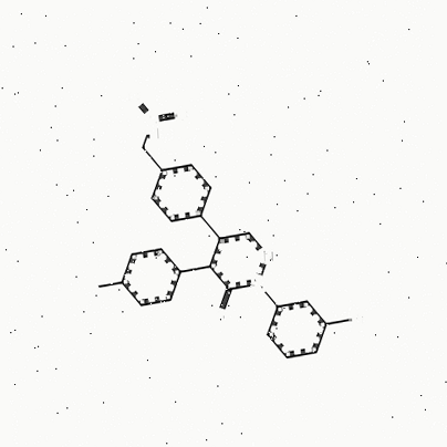 O=c1c(-c2ccc(F)cc2)c(-c2ccc(C[SH](=O)=O)cc2)cnn1-c1cccc(Br)c1